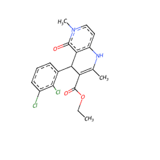 CCOC(=O)C1=C(C)Nc2ccn(C)c(=O)c2C1c1cccc(Cl)c1Cl